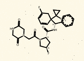 CC1(C2([C@@H](NC(=O)[C@@H]3C[C@@H](F)CN3C(=O)CN3CC(=O)NCC3=O)c3ccccc3)C=CC=C(F)C2)CC1